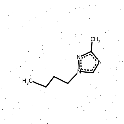 CCCCn1cnc(C)n1